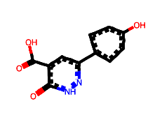 O=C(O)c1cc(-c2ccc(O)cc2)n[nH]c1=O